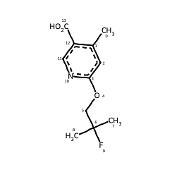 Cc1cc(OCC(C)(C)F)ncc1C(=O)O